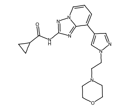 O=C(Nc1nc2c(-c3cnn(CCN4CCOCC4)c3)cccn2n1)C1CC1